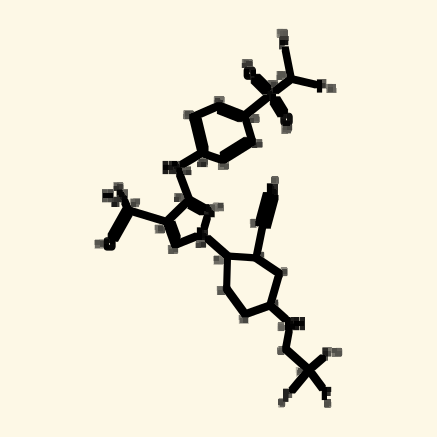 N#CC1CC(NCC(F)(F)F)CCC1n1cc(C(N)=O)c(Nc2ccc(S(=O)(=O)C(F)F)cc2)n1